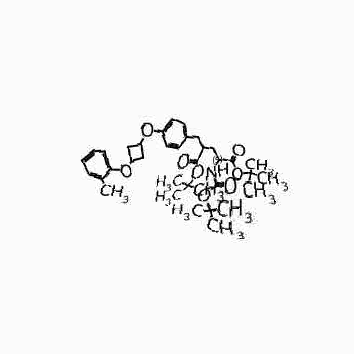 Cc1ccccc1OC1CC(Oc2ccc(CC(C[C@H](NC(=O)OC(C)(C)C)C(=O)OC(C)(C)C)C(=O)OC(C)(C)C)cc2)C1